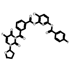 O=C(Oc1ccc(Cl)c(OC(=O)c2cccc(C(=O)n3c(=O)c(F)cn(C4CCCO4)c3=O)c2)n1)c1ccc(F)cc1